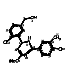 COC1=NC(c2cc(CO)ccc2Cl)NC(c2ccc(Cl)c(C)c2)=N1